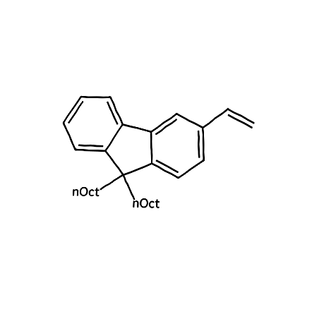 C=Cc1ccc2c(c1)-c1ccccc1C2(CCCCCCCC)CCCCCCCC